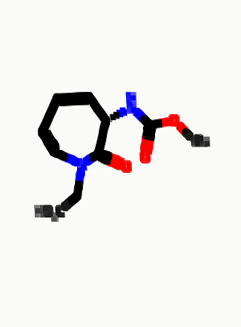 CC(C)(C)OC(=O)N[C@H]1C=CC=CN(CC(=O)O)C1=O